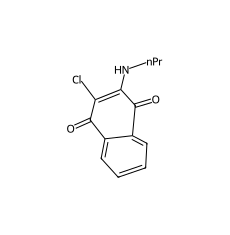 CCCNC1=C(Cl)C(=O)c2ccccc2C1=O